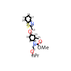 CCCOCCN(C(=O)OC)c1ccc(OCc2nc3ccccc3s2)cc1C